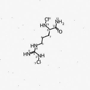 N=C(NCl)NCCC[C@@H](NCl)C(N)=O